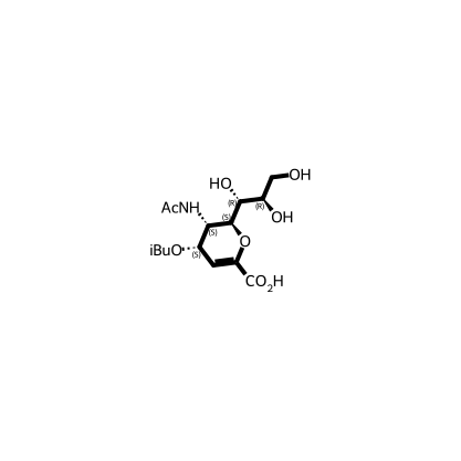 CC(=O)N[C@@H]1[C@@H]([C@H](O)[C@H](O)CO)OC(C(=O)O)=C[C@@H]1OCC(C)C